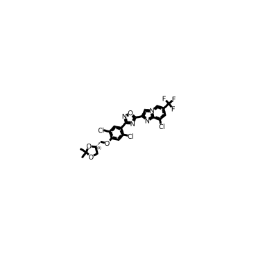 CC1(C)OC[C@@H](COc2cc(Cl)c(-c3noc(-c4cn5cc(C(F)(F)F)cc(Cl)c5n4)n3)cc2Cl)O1